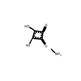 CN.O=c1c(O)c(O)c1=O